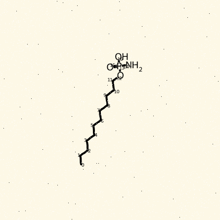 CCCCCCCCCCCCOP(N)(=O)O